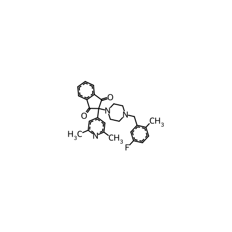 Cc1cc(C2(N3CCN(Cc4cc(F)ccc4C)CC3)C(=O)c3ccccc3C2=O)cc(C)n1